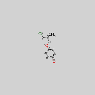 CC(CCl)COc1ccc([O])cc1